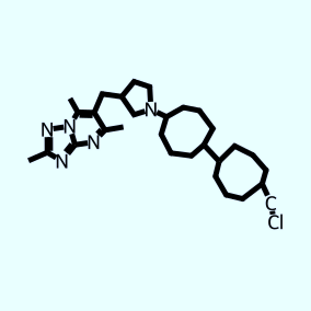 Cc1nc2nc(C)c(CC3CCN(C4CCCC(C5CCCC(CCl)CCC5)CCC4)C3)c(C)n2n1